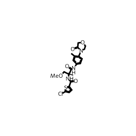 COC[C@@](C)(NC(=O)c1ccc(Cl)s1)C(=O)Nc1ccc(N2CCOCC2=O)c(C)c1